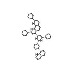 c1ccc(-c2cc(-c3cc(-c4ccccc4)nc4c3ccc3ccc(-c5ccccc5)nc34)nc(-c3cccc(-c4cccc5cccnc45)c3)n2)cc1